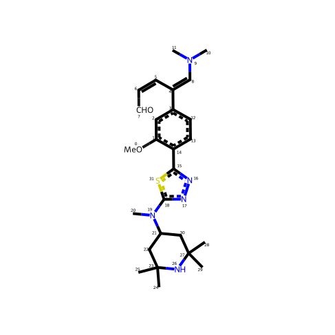 COc1cc(C(/C=C\C=O)=C/N(C)C)ccc1-c1nnc(N(C)C2CC(C)(C)NC(C)(C)C2)s1